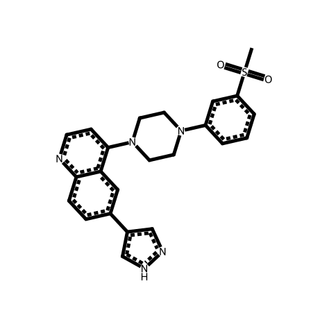 CS(=O)(=O)c1cccc(N2CCN(c3ccnc4ccc(-c5cn[nH]c5)cc34)CC2)c1